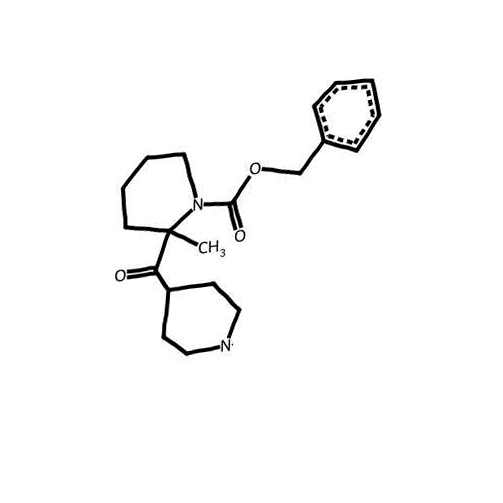 CC1(C(=O)C2CC[N]CC2)CCCCN1C(=O)OCc1ccccc1